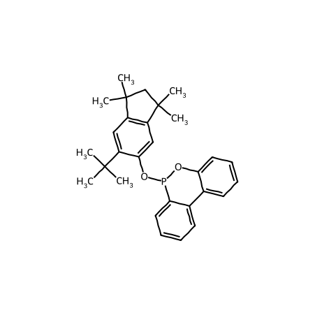 CC(C)(C)c1cc2c(cc1OP1Oc3ccccc3-c3ccccc31)C(C)(C)CC2(C)C